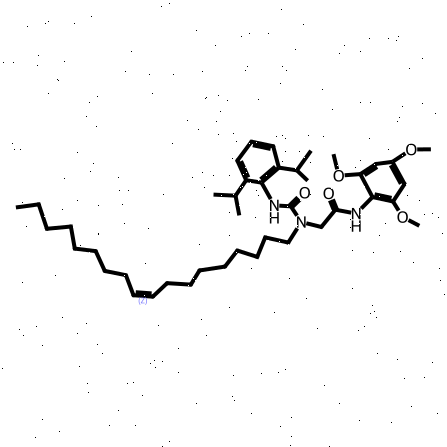 CCCCCCCC/C=C\CCCCCCCCN(CC(=O)Nc1c(OC)cc(OC)cc1OC)C(=O)Nc1c(C(C)C)cccc1C(C)C